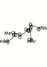 CCCCCCCCCC(=O)CCCCCCCC(=O)OCC(COC(=O)CCCCCCCC(=O)OCCC(CCOC)OC(=O)CCCCCCCC(=O)OCCCC)OC(=O)CCCCCCCC(=O)OCCCC